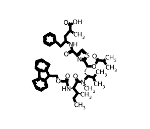 CC[C@H](C)[C@H](NC(=O)OCC1c2ccccc2-c2ccccc21)C(=O)N(C)[C@H](C[C@@H](OC(=O)C(C)C)c1nc(C(=O)NC(Cc2ccccc2)CC(C)C(=O)O)cs1)C(C)C